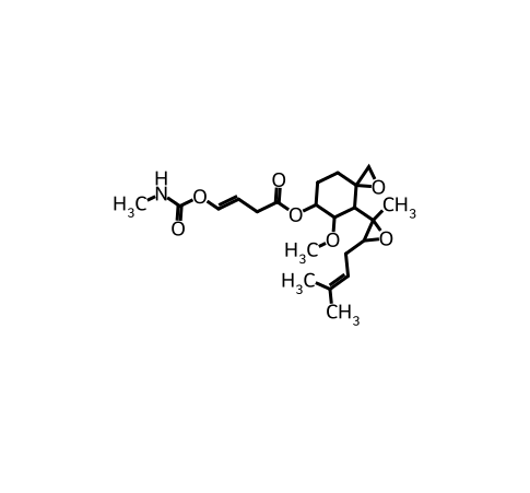 CNC(=O)OC=CCC(=O)OC1CCC2(CO2)C(C2(C)OC2CC=C(C)C)C1OC